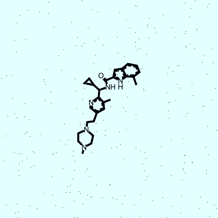 Cc1cc(CCN2CCN(C)CC2)cnc1C(NC(=O)c1cc2cccc(C)c2[nH]1)C1CC1